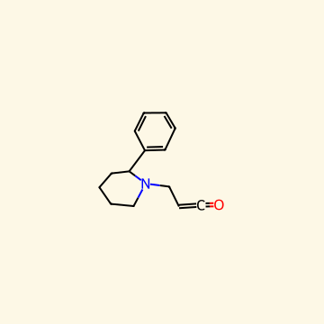 O=C=CCN1CCCCC1c1ccccc1